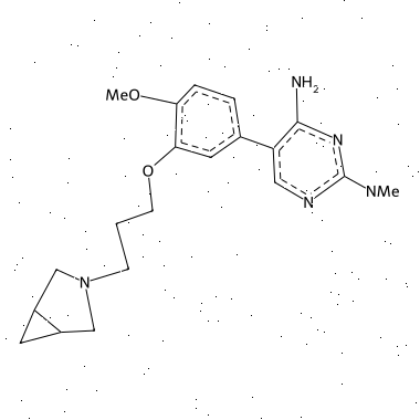 CNc1ncc(-c2ccc(OC)c(OCCCN3CC4CC4C3)c2)c(N)n1